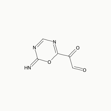 N=c1ncnc(C(=O)C=O)o1